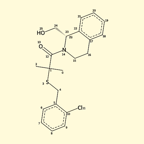 CC(C)(SCc1ccccc1Cl)C(=O)N1CCc2ccccc2[C@H]1CO